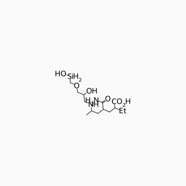 CCC(CC(CC(C)NCC(O)COC[SiH2]O)C(N)=O)C(=O)O